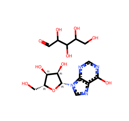 O=CC(O)C(O)C(O)CO.OC[C@H]1O[C@@H](n2cnc3c(O)ncnc32)[C@H](O)[C@@H]1O